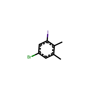 Cc1cc(Br)cc(I)c1C